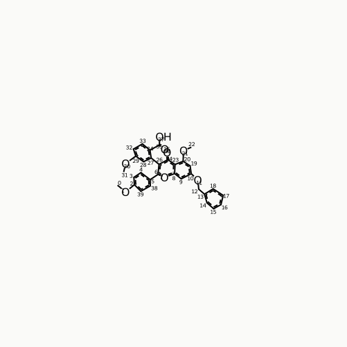 COc1ccc(-c2oc3cc(OCc4ccccc4)cc(OC)c3c(=O)c2-c2cc(OC)ccc2C(=O)O)cc1